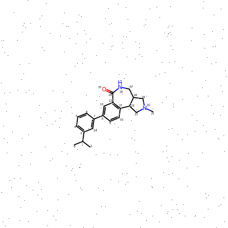 CC(C)c1cccc(-c2ccc3c(c2)C(=O)NCC2CN(C)CC32)c1